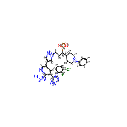 Nc1ncc(-c2cnn(CCC(C3CCN(c4ccccc4)CC3)[SH](=O)=O)c2)cc1-c1nnnn1-c1cccc(Cl)c1F